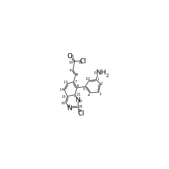 Nc1cccc(-c2c(/C=C/C(=O)Cl)ccc3cnc(Cl)nc23)c1